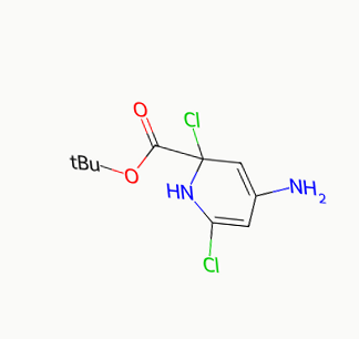 CC(C)(C)OC(=O)C1(Cl)C=C(N)C=C(Cl)N1